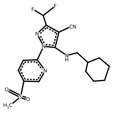 CS(=O)(=O)c1ccc(-n2nc(C(F)F)c(C#N)c2NCC2CCCCC2)nc1